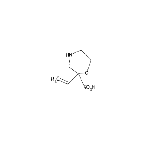 C=CC1(S(=O)(=O)O)CNCCO1